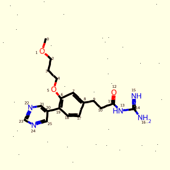 COCCCOc1cc(CCC(=O)NC(=N)N)ccc1-c1cncnc1